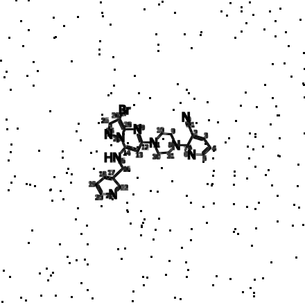 N#Cc1cccnc1N1CCN(c2cc(NCc3cccnc3)n3ncc(Br)c3n2)CC1